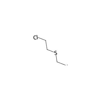 [CH2]CSCCCl